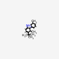 CC1C=CC=C(C2C(N)=CC=C(C(C)(C)C)C2C)C1